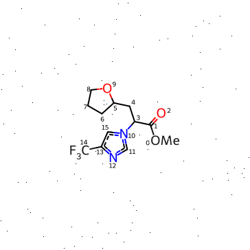 COC(=O)C(CC1CCCO1)n1cnc(C(F)(F)F)c1